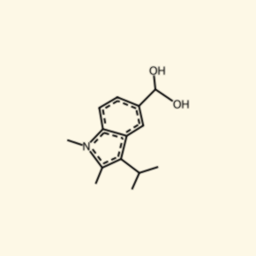 Cc1c(C(C)C)c2cc(C(O)O)ccc2n1C